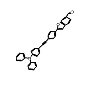 O=Cc1ccc2cc(-c3ccc(C#Cc4ccc(N(c5ccccc5)c5ccccc5)cc4)cc3)oc2c1